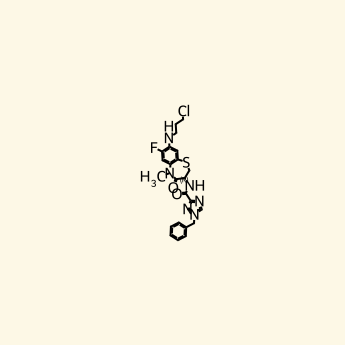 CN1C(=O)[C@@H](NC(=O)c2ncn(Cc3ccccc3)n2)CSc2cc(NCCCCl)c(F)cc21